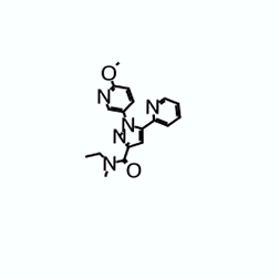 CCN(C)C(=O)c1cc(-c2ccccn2)n(-c2ccc(OC)nc2)n1